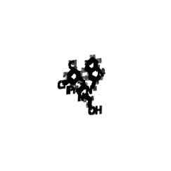 CC(C)c1nc(CCO)n(Cc2cnc3ccccc3c2)c1Sc1cc(Cl)cc(Cl)c1